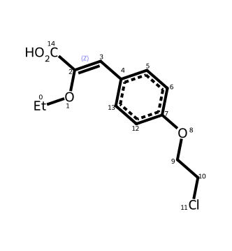 CCO/C(=C\c1ccc(OCCCl)cc1)C(=O)O